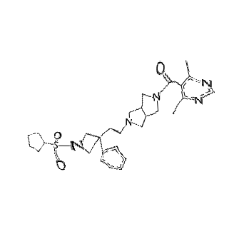 Cc1ncnc(C)c1C(=O)N1CC2CN(CCC3(c4ccccc4)CN(S(=O)(=O)C4CCCC4)C3)CC2C1